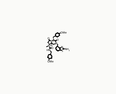 COc1ccc(CNC(=O)N(C)N2CC(=O)N3[C@@H](Cc4ccc(OC)cc4)C(=O)N(Cc4cccc5sc(N)nc45)C[C@@H]32)cc1